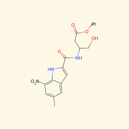 Cc1cc([N+](=O)[O-])c2[nH]c(C(=O)NC(CO)CC(=O)OC(C)C)cc2c1